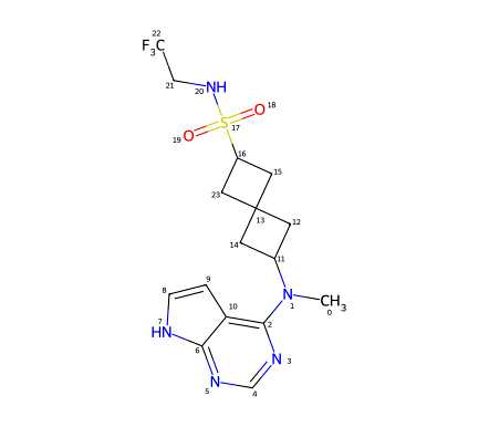 CN(c1ncnc2[nH]ccc12)C1CC2(C1)CC(S(=O)(=O)NCC(F)(F)F)C2